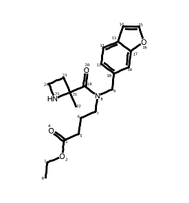 CCOC(=O)CCCN(Cc1ccc2ccoc2c1)C(=O)C1(C)CCN1